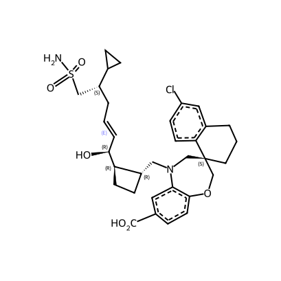 NS(=O)(=O)C[C@@H](C/C=C/[C@H](O)[C@@H]1CC[C@H]1CN1C[C@@]2(CCCc3cc(Cl)ccc32)COc2ccc(C(=O)O)cc21)C1CC1